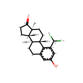 C[C@]12CC[C@@H]3c4c(cc(O)cc4C(F)F)CC[C@H]3[C@@H]1CCC2=O